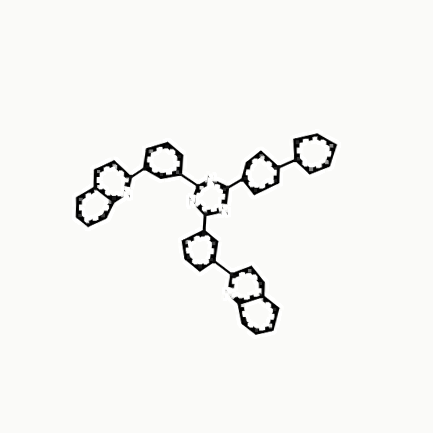 c1ccc(-c2ccc(-c3nc(-c4cccc(-c5ccc6ccccc6n5)c4)nc(-c4cccc(-c5ccc6ccccc6n5)c4)n3)cc2)cc1